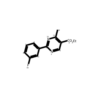 CCOC(=O)c1cnc(-c2cccc(F)c2)nc1C